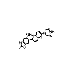 Cc1nc2cc(O)c(-c3ccc4nc(N5C[C@H](C)N[C@@H](C)C5)ccc4n3)cc2o1